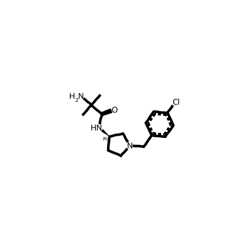 CC(C)(N)C(=O)N[C@@H]1CCN(Cc2ccc(Cl)cc2)C1